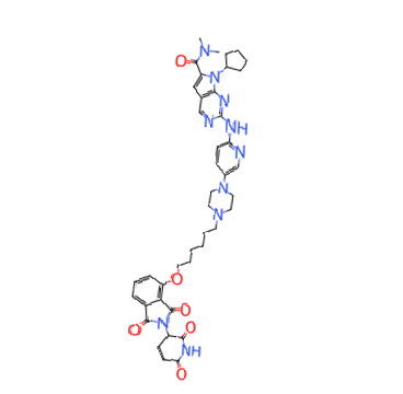 CN(C)C(=O)c1cc2cnc(Nc3ccc(N4CCN(CCCCCCOc5cccc6c5C(=O)N(C5CCC(=O)NC5=O)C6=O)CC4)cn3)nc2n1C1CCCC1